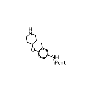 CCCC(C)Nc1ccc(OC2CCNCC2)c(C)c1